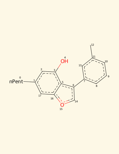 CCCCCc1cc(O)c2c(-c3cccc(C)c3)coc2c1